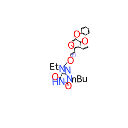 C=Cc1c(/C=C/OCc2nc3c(c(=O)[nH]c(=O)n3CCCC)n2CC)occ(Oc2ccccc2)c1=O